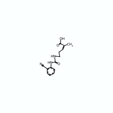 CC(=CCCNC(=O)Nc1ccccc1C#N)C(=O)O